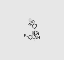 C[C@@H](Nc1ncc(-c2ccc3oc(=O)n(C)c3c2)nn1)c1ccc(F)cc1